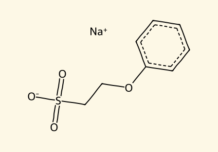 O=S(=O)([O-])CCOc1ccccc1.[Na+]